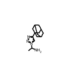 CC(N)n1cc(C23CC4CC(CC(C4)C2)C3)nn1